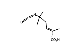 CC(=CCC(C)(C)N=C=O)C(=O)O